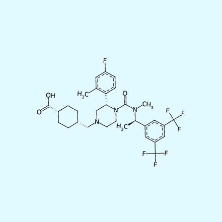 Cc1cc(F)ccc1[C@H]1CN(C[C@H]2CC[C@@H](C(=O)O)CC2)CCN1C(=O)N(C)[C@H](C)c1cc(C(F)(F)F)cc(C(F)(F)F)c1